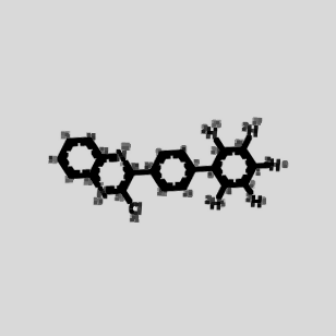 [2H]c1c([2H])c([2H])c(-c2ccc(-c3nc4ccccc4nc3Cl)cc2)c([2H])c1[2H]